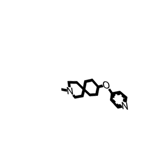 CN1CCC2(CCC(Oc3ccncc3)CC2)CC1